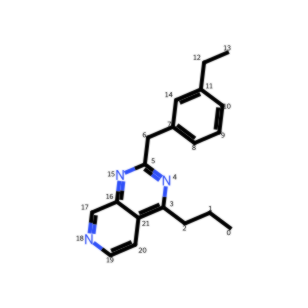 CCCc1nc(Cc2cccc(CC)c2)nc2cnccc12